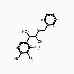 Oc1ccc(C(O)C(O)CCc2ccccc2)c(O)c1O